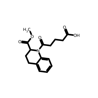 COC(=O)C1CCc2ccccc2N1C(=O)CCCC(=O)O